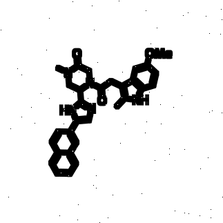 COc1ccc2[nH]c(C)c(CC(=O)N3CC(=O)N(C)CC3c3ncc(-c4ccc5ccccc5c4)[nH]3)c2c1